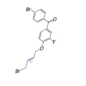 O=C(c1ccc(Br)cc1)c1ccc(OC/C=C/CBr)c(F)c1